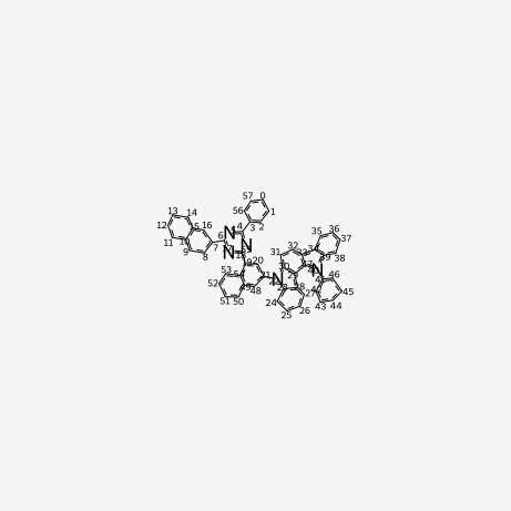 c1ccc(-c2nc(-c3ccc4ccccc4c3)nc(-c3cc(-n4c5ccccc5c5c4ccc4c6ccccc6n(-c6ccccc6)c45)cc4ccccc34)n2)cc1